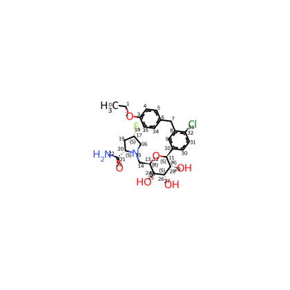 CCOc1ccc(Cc2cc([C@@H]3O[C@H](CN4C[C@@H](F)C[C@H]4C(N)=O)[C@H](O)[C@@H](O)[C@H]3O)ccc2Cl)cc1